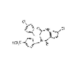 O=C(O)c1ccc(CN2C(=O)c3ccc(Cl)cc3NC(=O)[C@H]2Cc2ccc(Cl)cc2)cc1